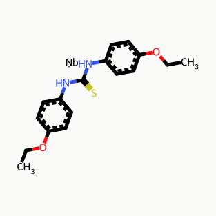 CCOc1ccc(NC(=S)Nc2ccc(OCC)cc2)cc1.[Nb]